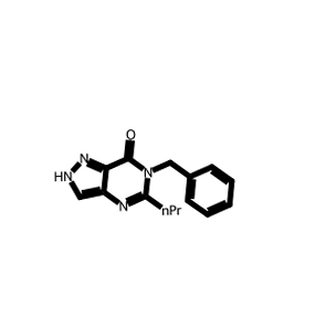 CCCc1nc2c[nH]nc2c(=O)n1Cc1ccccc1